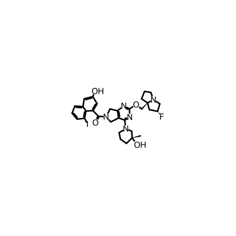 C[C@@]1(O)CCCN(c2nc(OC[C@@]34CCCN3C[C@H](F)C4)nc3c2CN(C(=O)c2cc(O)cc4cccc(I)c24)C3)C1